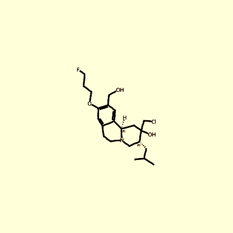 CC(C)C[C@@H]1CN2CCc3cc(OCCCF)c(CO)cc3[C@H]2CC1(O)CCl